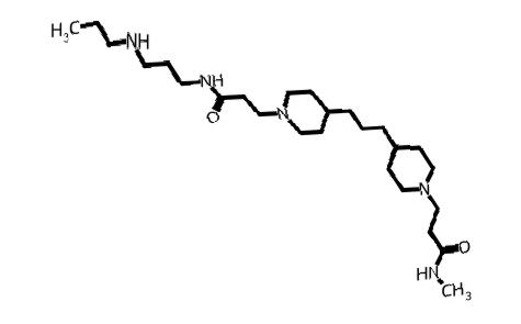 CCCNCCCNC(=O)CCN1CCC(CCCC2CCN(CCC(=O)NC)CC2)CC1